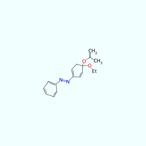 C=C(C)OC1(OCC)C=CC(N=Nc2ccccc2)=CC1